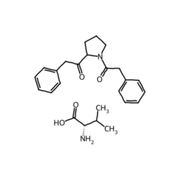 CC(C)[C@H](N)C(=O)O.O=C(Cc1ccccc1)C1CCCN1C(=O)Cc1ccccc1